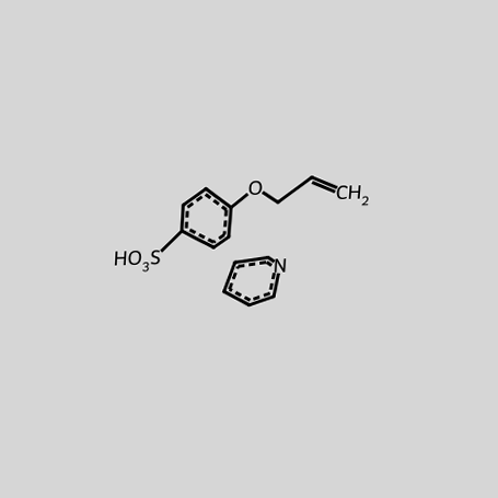 C=CCOc1ccc(S(=O)(=O)O)cc1.c1ccncc1